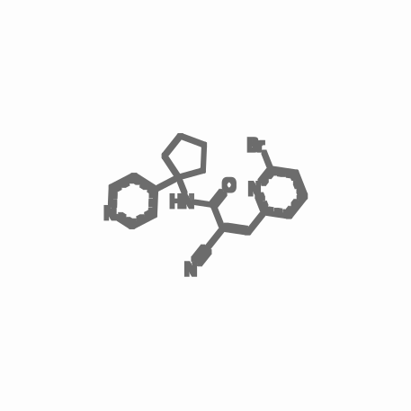 N#CC(=Cc1cccc(Br)n1)C(=O)NC1(c2ccncc2)CCCC1